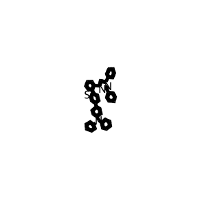 c1ccc(-c2cc(-c3cccc4sc5cc(-c6ccc(N(c7ccccc7)c7ccccc7)cc6)ccc5c34)nc(-c3ccccc3)n2)cc1